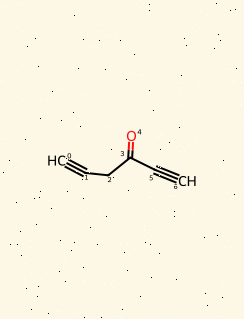 C#CCC(=O)C#C